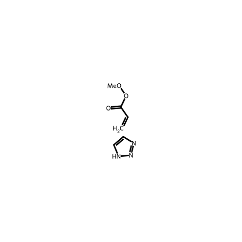 C=CC(=O)OOC.c1c[nH]nn1